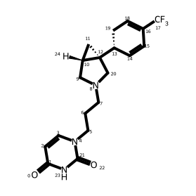 O=c1ccn(CCCN2C[C@@H]3C[C@]3([C@H]3C=CC(C(F)(F)F)=CC3)C2)c(=O)[nH]1